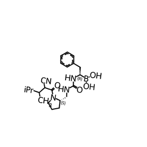 CC(C)C(C)C(C#N)C(=O)N1CCC[C@H]1CNC(=O)N[C@@H](Cc1ccccc1)B(O)O